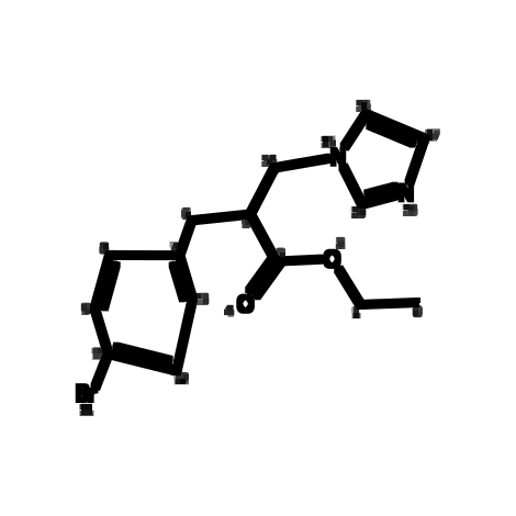 CCOC(=O)C(Cc1ccc(Br)cc1)Cn1ccnc1